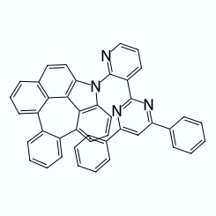 c1ccc(-c2cc(-c3ccccc3)nc(-c3cccnc3-n3c4cccc5c4c4c6c(cccc6ccc43)-c3ccccc3-5)n2)cc1